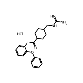 Cl.N=C(N)NCC1CCC(C(=O)Oc2ccccc2Oc2ccccc2)CC1